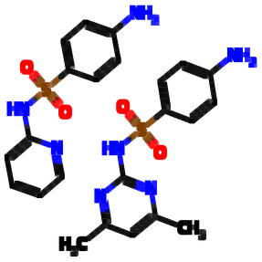 Cc1cc(C)nc(NS(=O)(=O)c2ccc(N)cc2)n1.Nc1ccc(S(=O)(=O)Nc2ccccn2)cc1